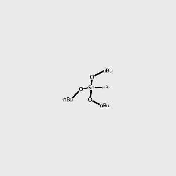 CCCC[O][Sn]([CH2]CC)([O]CCCC)[O]CCCC